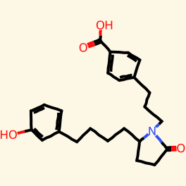 O=C(O)c1ccc(CCCN2C(=O)CCC2CCCCc2cccc(O)c2)cc1